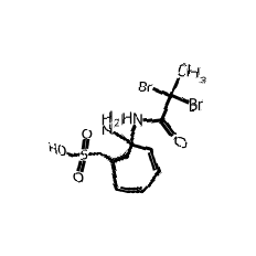 CC(Br)(Br)C(=O)NC1(N)C=CC=CC1S(=O)(=O)O